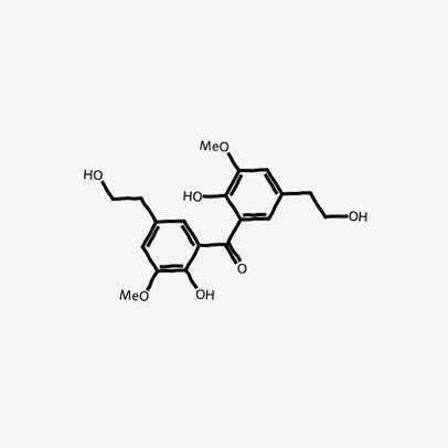 COc1cc(CCO)cc(C(=O)c2cc(CCO)cc(OC)c2O)c1O